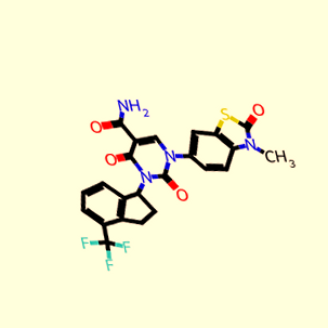 Cn1c(=O)sc2cc(-n3cc(C(N)=O)c(=O)n(C4CCc5c4cccc5C(F)(F)F)c3=O)ccc21